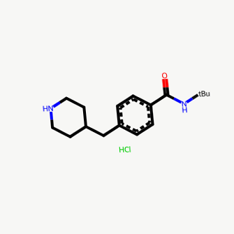 CC(C)(C)NC(=O)c1ccc(CC2CCNCC2)cc1.Cl